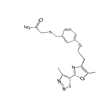 Cc1nnsc1-c1nc(CCOc2cccc(CSCC(=O)O)c2)c(C)o1